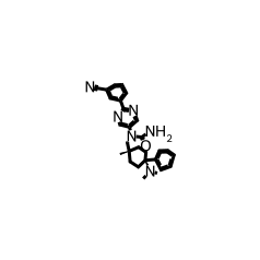 CN(C)[C@]1(c2ccccc2)CC[C@@](C)(CN(C(N)=O)c2cnc(-c3cccc(C#N)c3)nc2)CC1